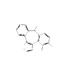 CC(C)(C)C1c2ccccc2-c2oncc2-c2c1ccc(F)c2F